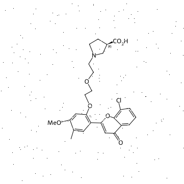 COc1cc(OCCOCCN2CC[C@@H](C(=O)O)C2)c(-c2cc(=O)c3cccc(Cl)c3o2)cc1C